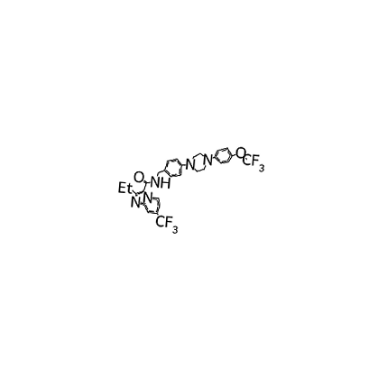 CCc1nc2cc(C(F)(F)F)ccn2c1C(=O)NCc1ccc(N2CCN(c3ccc(OC(F)(F)F)cc3)CC2)cc1